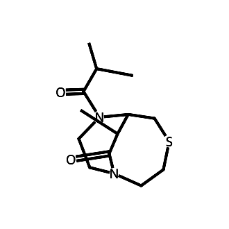 CC(C)C(=O)N1CCN2CCSCC1C(C)C2=O